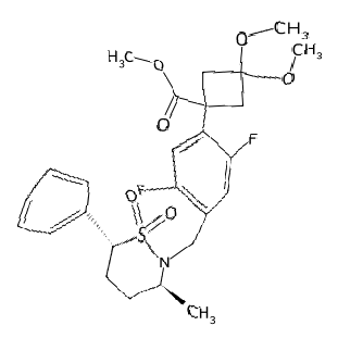 COC(=O)C1(c2cc(F)c(CN3[C@@H](C)CC[C@H](c4ccccc4)S3(=O)=O)cc2F)CC(OC)(OC)C1